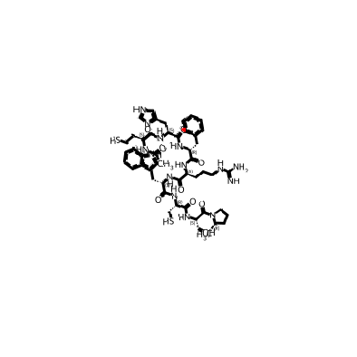 CC(=O)N[C@@H](CCS)C(=O)N[C@@H](Cc1c[nH]cn1)C(=O)N[C@H](Cc1ccccc1)C(=O)N[C@@H](CCCNC(=N)N)C(=O)N[C@@H](Cc1c[nH]c2ccccc12)C(=O)N[C@@H](CS)C(=O)N[C@@H](CO)C(=O)N1CCC[C@H]1C